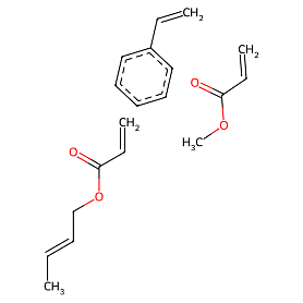 C=CC(=O)OC.C=CC(=O)OCC=CC.C=Cc1ccccc1